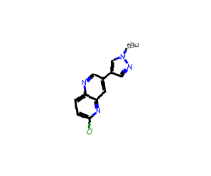 CC(C)(C)n1cc(-c2cnc3ccc(Cl)nc3c2)cn1